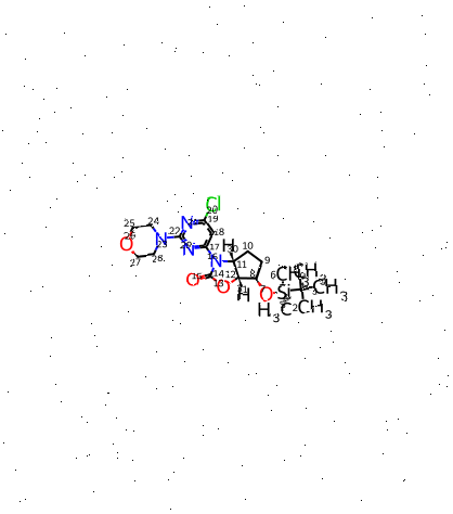 CC(C)(C)[Si](C)(C)O[C@@H]1CC[C@@H]2[C@H]1OC(=O)N2c1cc(Cl)nc(N2CCOCC2)n1